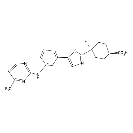 O=C(O)[C@H]1CC[C@@](F)(c2ncc(-c3cccc(Nc4nccc(C(F)(F)F)n4)c3)s2)CC1